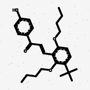 CCCCOc1ccc(C(C)(C)C)c(OCCCC)c1C=CC(=O)c1ccc(O)cc1